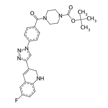 CC(C)(C)OC(=O)N1CCN(C(=O)c2ccc(-n3cc(C4=Cc5cc(F)ccc5NC4)nn3)cc2)CC1